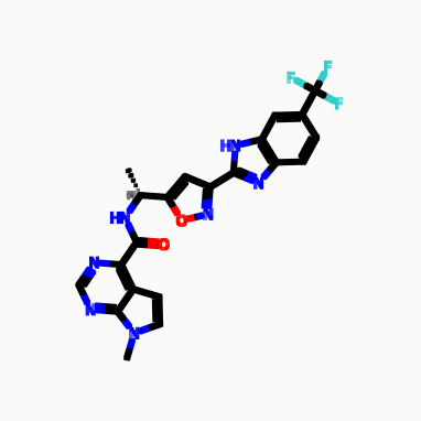 C[C@@H](NC(=O)c1ncnc2c1ccn2C)c1cc(-c2nc3ccc(C(F)(F)F)cc3[nH]2)no1